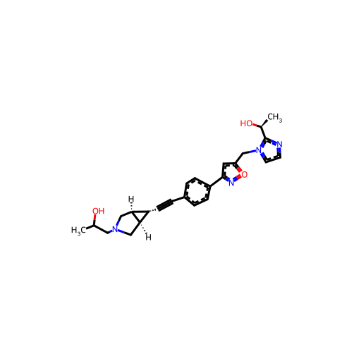 CC(O)CN1C[C@@H]2[C@@H](C#Cc3ccc(-c4cc(Cn5ccnc5[C@H](C)O)on4)cc3)[C@@H]2C1